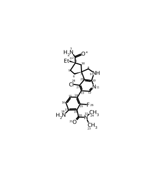 CC[C@]1(C(N)=O)CC[C@]2(CNc3ncc(-c4ccc(N)c(C(=O)N(C)C)c4F)c(Cl)c32)C1